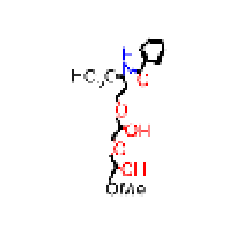 COCC(O)COCC(O)COCCC(NC(=O)c1ccccc1)C(=O)O